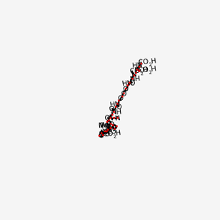 COc1cccc(OC)c1-c1cc(C(=O)NC2(C(=O)O)C3CC4CC(C3)CC2C4)nn1-c1ccc(C(=O)N(CCCNC(=O)CCC(=O)NCCCOCCOCCOCCCNC(=O)CNCCN(CCN(CCNCC(=O)O)CC(=O)O)CC(=O)O)CCCN(C)C)cc1C(C)C